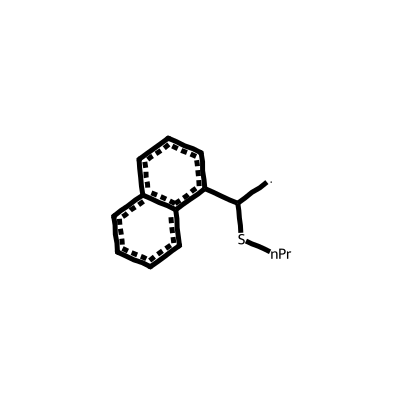 [CH2]C(SCCC)c1cccc2ccccc12